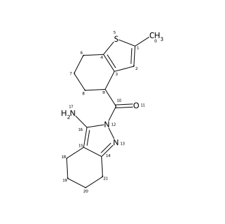 Cc1cc2c(s1)CCCC2C(=O)n1nc2c(c1N)CCCC2